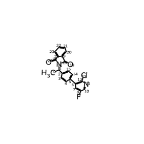 CC(c1ccc(-c2cc(F)cnc2Cl)cc1)N1C(=O)c2ccccc2C1=O